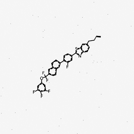 C=CCCc1ccc2nc(-c3ccc(-c4ccc5cc(C(F)(F)Oc6cc(F)c(F)c(F)c6)ccc5c4)c(F)c3)sc2c1